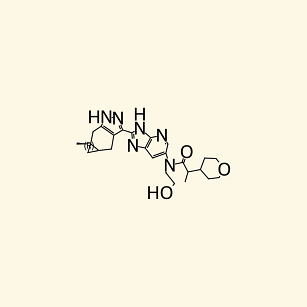 CC(C(=O)N(CCO)c1cnc2[nH]c(-c3n[nH]c4c3CC3C[C@]3(C)C4)nc2c1)C1CCOCC1